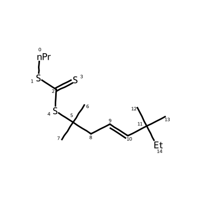 CCCSC(=S)SC(C)(C)C/C=C/C(C)(C)CC